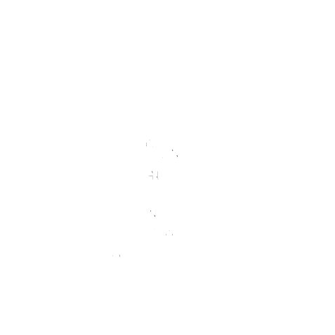 O=C(C1CCOCC1)N1CCCN(c2nc3cc(-c4ccccc4)ccc3o2)CC1